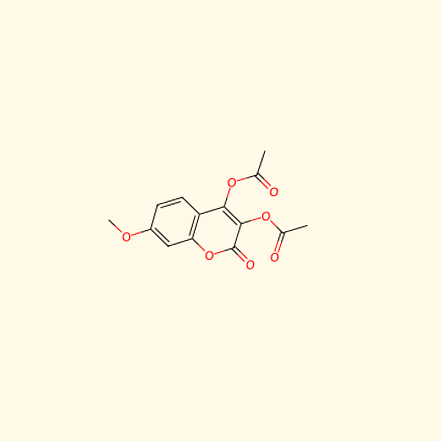 COc1ccc2c(OC(C)=O)c(OC(C)=O)c(=O)oc2c1